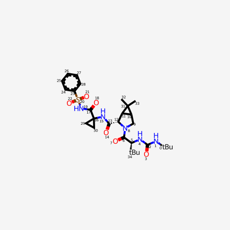 CC(C)(C)NC(=O)N[C@H](C(=O)N1CC2C([C@H]1C(=O)NC1(C(=O)NS(=O)(=O)c3ccccc3)CC1)C2(C)C)C(C)(C)C